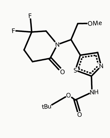 COCC(c1cnc(NC(=O)OC(C)(C)C)s1)N1CC(F)(F)CCC1=O